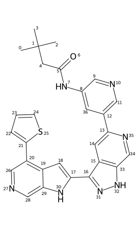 CC(C)(C)CC(=O)Nc1cncc(-c2cc3c(-c4cc5c(-c6cccs6)cncc5[nH]4)n[nH]c3cn2)c1